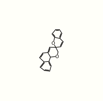 C1=Cc2ccccc2C2OCC3(C=Cc4ccccc4O3)C=C12